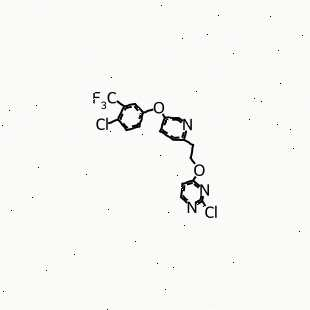 FC(F)(F)c1cc(Oc2ccc(CCOc3ccnc(Cl)n3)nc2)ccc1Cl